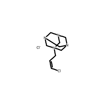 Cl/C=C\C[N+]12CN3CN(CN(C3)C1)C2.[Cl-]